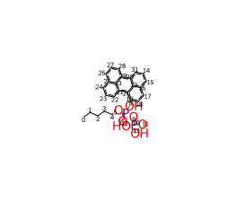 CCCCCOP(=O)(O)OP(=O)(O)O.c1cc2cccc3c4cccc5cccc(c(c1)c23)c54